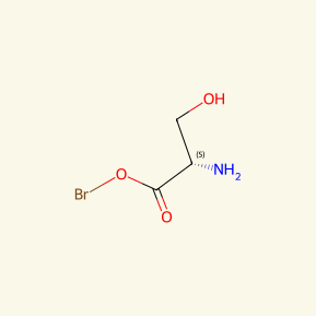 N[C@@H](CO)C(=O)OBr